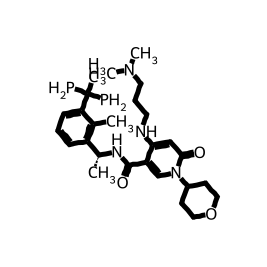 Cc1c([C@@H](C)NC(=O)c2cn(C3CCOCC3)c(=O)cc2NCCCN(C)C)cccc1C(C)(P)P